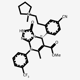 COC(=O)C1=C(C)N(c2cccc(C(F)(F)F)c2)c2n[nH]c(=O)n2[C@@H]1c1ccc(C#N)cc1CC[N+]1(C)CCCC1